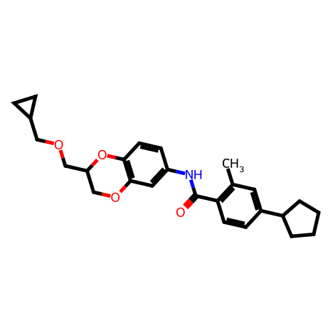 Cc1cc(C2CCCC2)ccc1C(=O)Nc1ccc2c(c1)OCC(COCC1CC1)O2